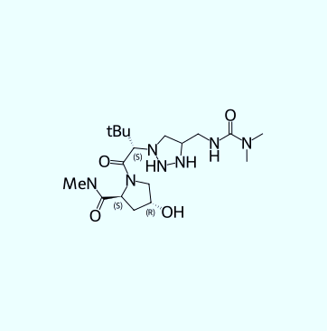 CNC(=O)[C@@H]1C[C@@H](O)CN1C(=O)[C@@H](N1CC(CNC(=O)N(C)C)NN1)C(C)(C)C